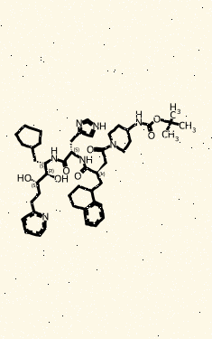 CC(C)(C)OC(=O)NC1CCN(C(=O)C[C@@H](CC2CCCc3ccccc32)C(=O)N[C@@H](Cc2c[nH]cn2)C(=O)N[C@@H](CC2CCCCC2)[C@@H](O)[C@@H](O)CCc2ccccn2)CC1